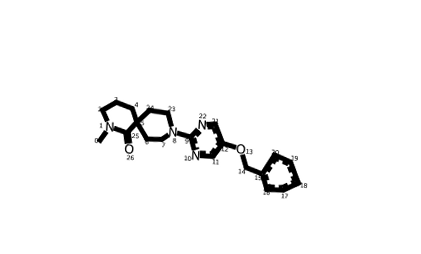 CN1CCCC2(CCN(c3ncc(OCc4ccccc4)cn3)CC2)C1=O